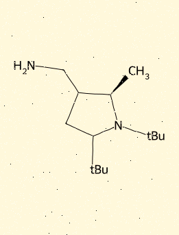 C[C@@H]1C(CN)CC(C(C)(C)C)N1C(C)(C)C